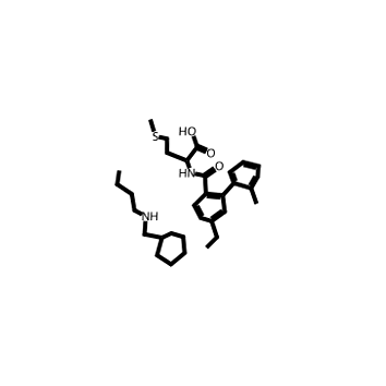 CCCCNCC1CCCCC1.CCc1ccc(C(=O)NC(CCSC)C(=O)O)c(-c2ccccc2C)c1